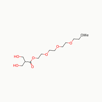 COCCOCCOCCOCCOC(=O)C(CO)CO